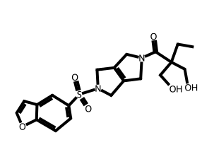 CCC(CO)(CO)C(=O)N1CC2=C(C1)CN(S(=O)(=O)c1ccc3occc3c1)C2